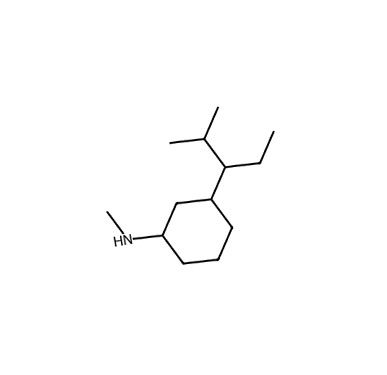 CCC(C(C)C)C1CCCC(NC)C1